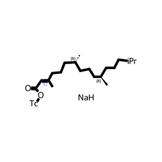 C/C(=C\C(=O)[O][Tc])CCC[C@H](C)CCC[C@H](C)CCCC(C)C.[NaH]